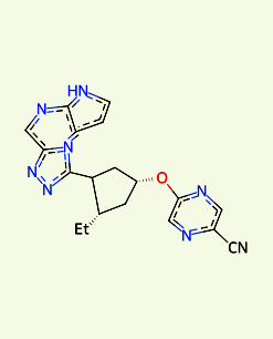 CC[C@H]1C[C@@H](Oc2cnc(C#N)cn2)CC1c1nnc2cnc3[nH]ccc3n12